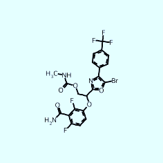 CNC(=O)OCC(Oc1ccc(F)c(C(N)=O)c1F)c1nc(-c2ccc(C(F)(F)F)cc2)c(Br)o1